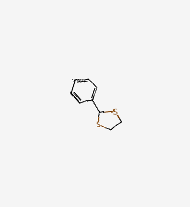 [c]1ccc(C2SCCS2)cc1